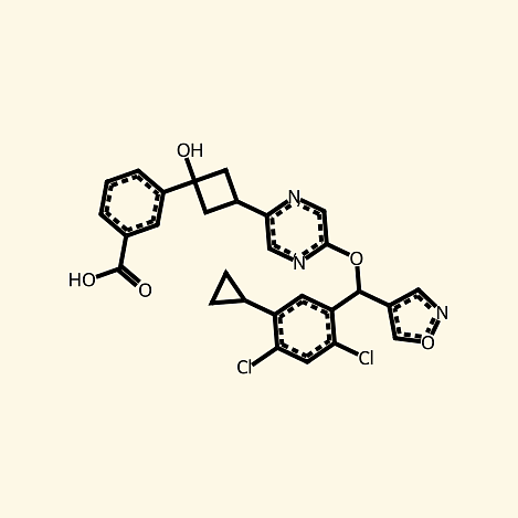 O=C(O)c1cccc(C2(O)CC(c3cnc(OC(c4cnoc4)c4cc(C5CC5)c(Cl)cc4Cl)cn3)C2)c1